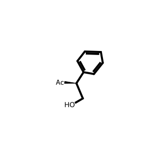 CC(=O)[C@H](CO)c1ccccc1